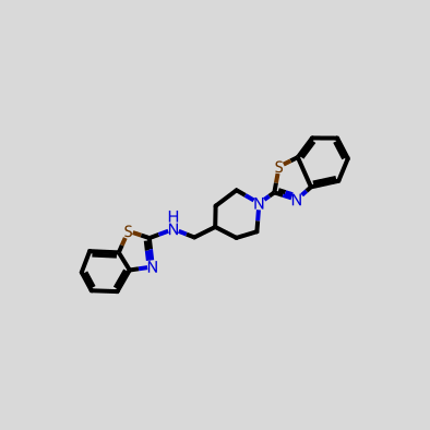 c1ccc2sc(NCC3CCN(c4nc5ccccc5s4)CC3)nc2c1